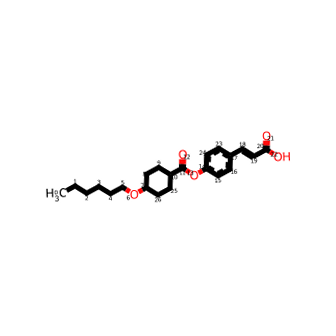 CCCCCCOC1CCC(C(=O)Oc2ccc(C=CC(=O)O)cc2)CC1